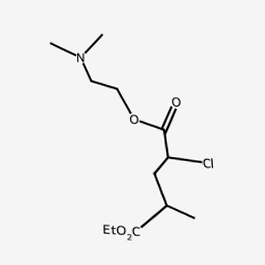 CCOC(=O)C(C)CC(Cl)C(=O)OCCN(C)C